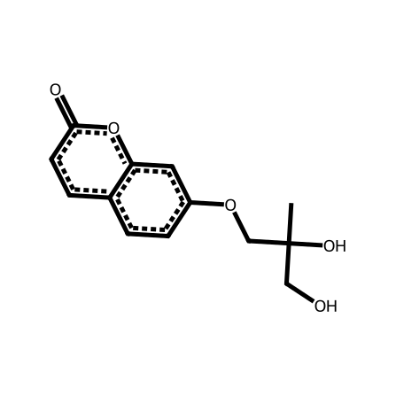 CC(O)(CO)COc1ccc2ccc(=O)oc2c1